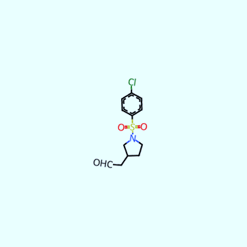 O=CCC1CCN(S(=O)(=O)c2ccc(Cl)cc2)C1